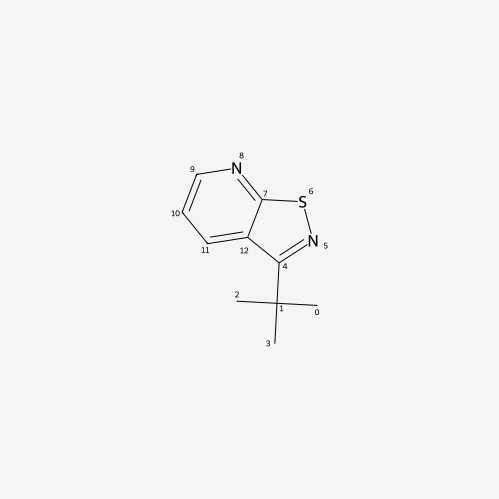 CC(C)(C)c1nsc2ncccc12